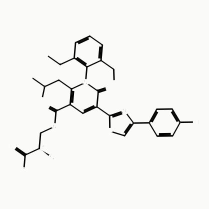 CCc1cccc(CC)c1-n1c(CC(C)C)c(C(=O)NC[C@@H](N)C(=O)O)cc(-c2nc(-c3ccc(Cl)cc3)cs2)c1=O